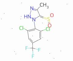 Cc1n[nH]n(-c2c(Cl)cc(C(F)(F)F)cc2Cl)c1=S(=O)=O